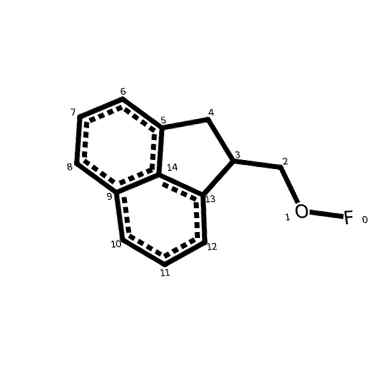 FOCC1Cc2cccc3cccc1c23